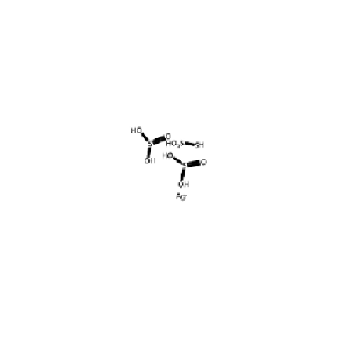 O=S(=O)(O)S.O=S(O)O.O=S(O)O.[Ag]